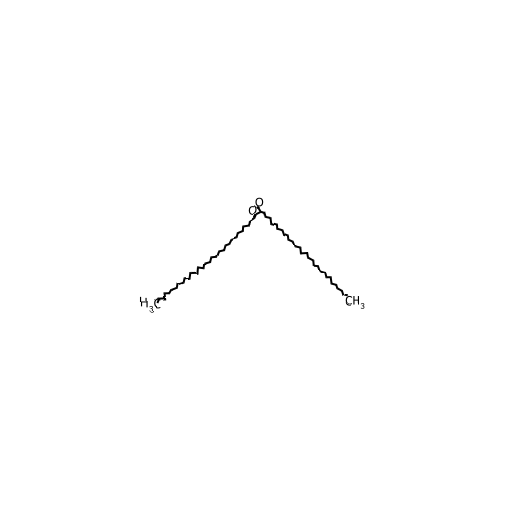 CCCCCCCCCCCCCCCCCCCCCCCCCCCCCCC=C1OC(=O)C1CCCCCCCCCCCCCCCCCCCCCCCCCCCCCC